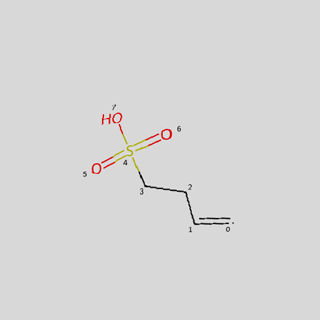 [CH]=CCCS(=O)(=O)O